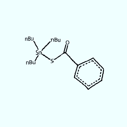 CCC[CH2][Sn]([CH2]CCC)([CH2]CCC)[S]C(=O)c1ccccc1